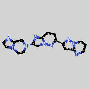 c1cnc2cc(-c3ccc4nc(-[n+]5ccn6ccnc6c5)cn4n3)nn2c1